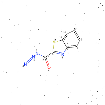 [N-]=[N+]=NC(=O)c1nc2ccccc2s1